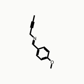 CC#CC/N=C/c1ccc(OC)cc1